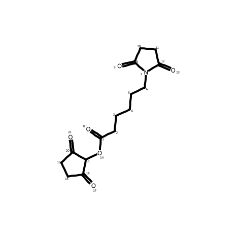 O=C(CCCCCN1C(=O)CCC1=O)OC1C(=O)CCC1=O